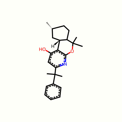 C[C@@H]1CCC2[C@@H](C1)c1c(O)cc(C(C)(C)c3ccccc3)nc1OC2(C)C